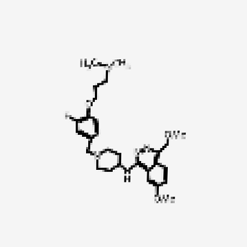 COCc1nnc(NC2CCN(Cc3ccc(OCCCN(C)C)c(F)c3)CC2)c2cc(OC)ccc12